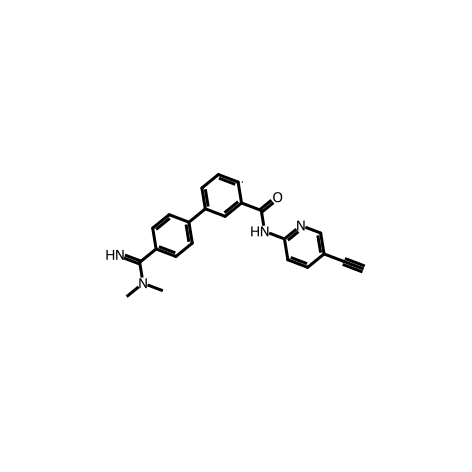 C#Cc1ccc(NC(=O)c2[c]ccc(-c3ccc(C(=N)N(C)C)cc3)c2)nc1